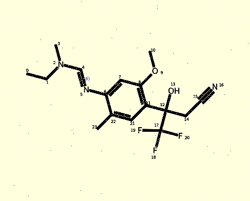 CCN(C)/C=N/c1cc(OC)c(C(O)(CC#N)C(F)(F)F)cc1C